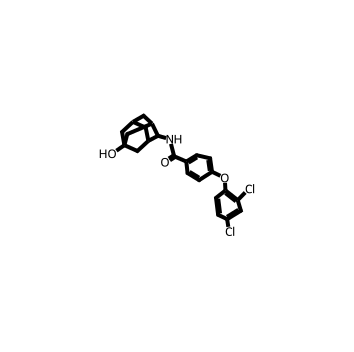 O=C(NC1C2CC3CC1CC(O)(C3)C2)c1ccc(Oc2ccc(Cl)cc2Cl)cc1